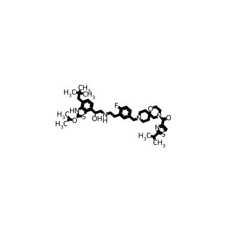 CC(C)OC1Nc2c(CC(C)(C)C)ccc([C@@H](O)CNCCc3cc(CN4CCC5(CC4)CN(C(=O)c4csc(C(C)C)n4)CCO5)ccc3F)c2S1